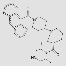 CC1CNCC(C)N1C(=O)[C@@H]1CCCN(C2CCN(C(=O)c3c4ccccc4cc4ccccc34)CC2)C1